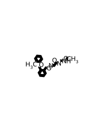 CONC=NC(=O)C=NOCc1ccccc1COc1ccccc1C